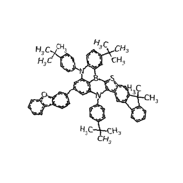 CC(C)(C)c1ccc(N2c3ccc(C(C)(C)C)cc3B3c4sc5cc6c(cc5c4N(c4ccc(C(C)(C)C)cc4)c4cc(-c5ccc7c(c5)oc5ccccc57)cc2c43)-c2ccccc2C6(C)C)cc1